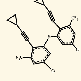 FC(F)(F)c1cc(Cl)cc(Sc2cc(Cl)cc(C(F)(F)F)c2C#CC2CC2)c1C#CC1CC1